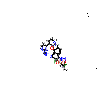 CC/C(F)=C/S(=O)(=O)Nc1c(F)ccc2c(Oc3ncccc3-c3ccnc(N)n3)c(C)ccc12